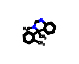 Cc1ccccc1C1(C)c2ccccc2N=CN1C